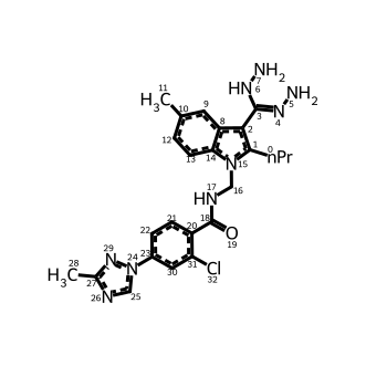 CCCc1c(/C(=N/N)NN)c2cc(C)ccc2n1CNC(=O)c1ccc(-n2cnc(C)n2)cc1Cl